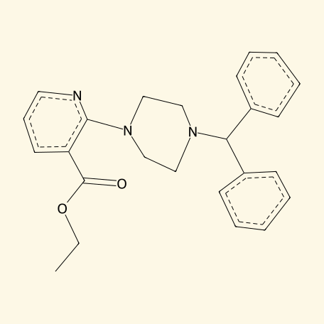 CCOC(=O)c1cccnc1N1CCN(C(c2ccccc2)c2ccccc2)CC1